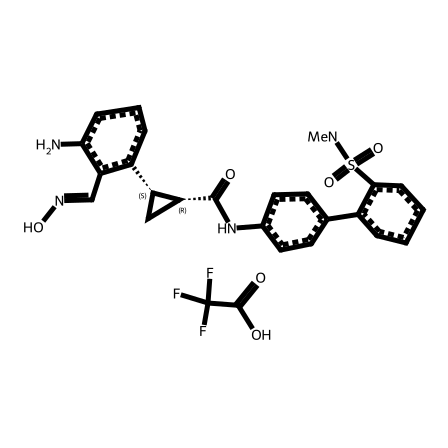 CNS(=O)(=O)c1ccccc1-c1ccc(NC(=O)[C@@H]2C[C@@H]2c2cccc(N)c2C=NO)cc1.O=C(O)C(F)(F)F